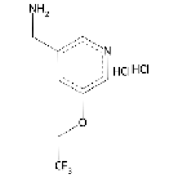 Cl.Cl.NCc1cncc(OCC(F)(F)F)c1